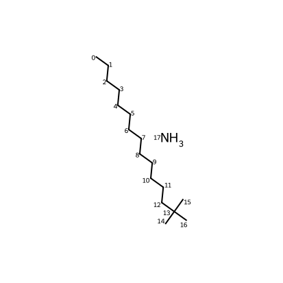 CCCCCCCCCCCCCC(C)(C)C.N